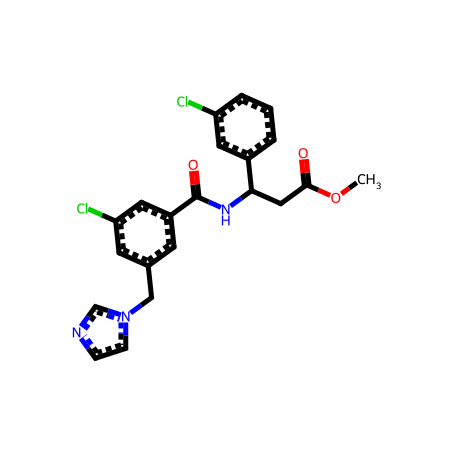 COC(=O)CC(NC(=O)c1cc(Cl)cc(Cn2ccnc2)c1)c1cccc(Cl)c1